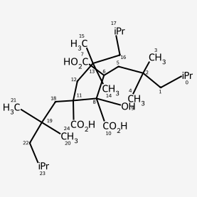 CC(C)CC(C)(C)CC(C(=O)O)C(O)(C(=O)O)C(CC(C)(C)CC(C)C)(CC(C)(C)CC(C)C)C(=O)O